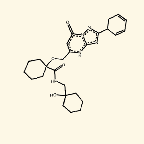 O=C(NCC1(O)CCCCC1)C1(OCc2cc(=O)n3nc(C4C=CC=CC4)nc3[nH]2)CCCCC1